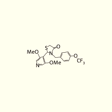 COc1cncc(OC)c1C1SCC(=O)N1Cc1ccc(OC(F)(F)F)cc1